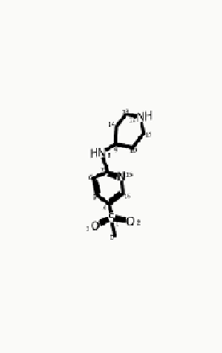 CS(=O)(=O)c1ccc(NC2CCNCC2)nc1